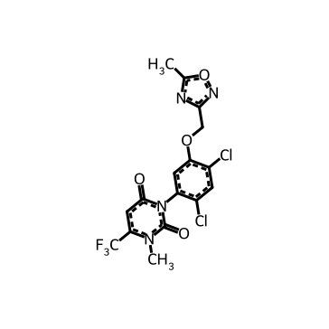 Cc1nc(COc2cc(-n3c(=O)cc(C(F)(F)F)n(C)c3=O)c(Cl)cc2Cl)no1